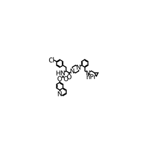 CCCN(Cc1ccccc1N1CCN(C(=O)C(Cc2ccc(Cl)cc2)NC(=O)Oc2ccc3ncccc3c2)CC1)CC1CC1